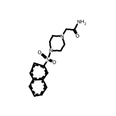 NC(=O)CN1CCN(S(=O)(=O)c2ccc3ccccc3c2)CC1